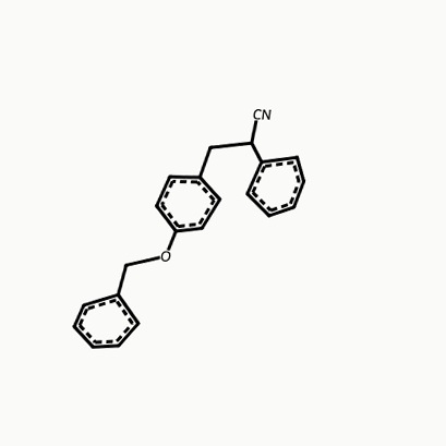 N#CC(Cc1ccc(OCc2ccccc2)cc1)c1ccccc1